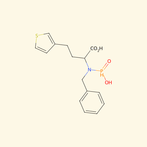 O=C(O)C(CCc1ccsc1)N(Cc1ccccc1)[PH](=O)O